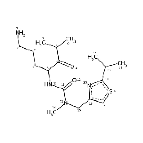 CC(C)C(=O)C(CCCN)NC(=O)N(C)Cc1csc(C(C)C)n1